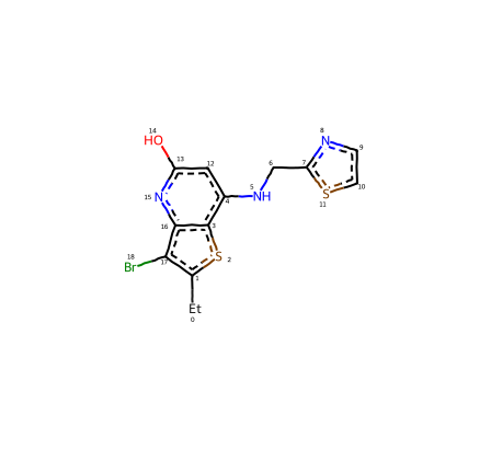 CCc1sc2c(NCc3nccs3)cc(O)nc2c1Br